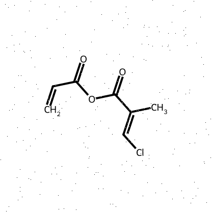 C=CC(=O)OC(=O)C(C)=CCl